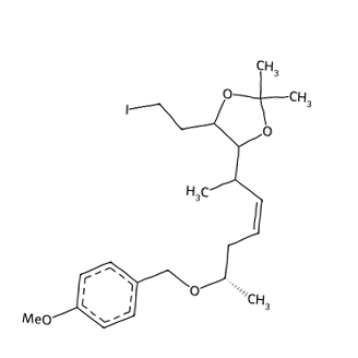 COc1ccc(CO[C@@H](C)C/C=C\C(C)C2OC(C)(C)OC2CCI)cc1